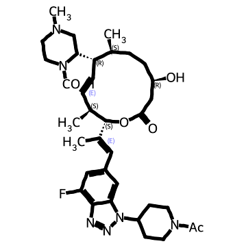 CC(=O)N1CCC(n2nnc3c(F)cc(/C=C(\C)[C@H]4OC(=O)C[C@H](O)CC[C@H](C)[C@@H](C5CN(C)CCN5C(=O)O)/C=C/[C@@H]4C)cc32)CC1